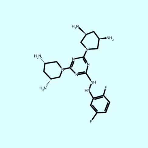 N[C@@H]1C[C@H](N)CN(c2nc(NNc3cc(F)ccc3F)nc(N3C[C@H](N)C[C@H](N)C3)n2)C1